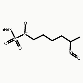 CCCCCCS(=O)(=O)[S+]([O-])CCCCC(C)[S+]=O